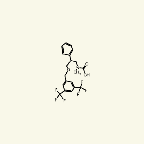 CN(CC(COCc1cc(C(F)(F)F)cc(C(F)(F)F)c1)c1ccccc1)C(=O)O